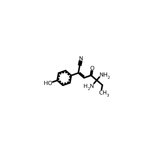 CCC(N)(N)C(=O)C=C(C#N)c1ccc(O)cc1